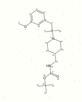 COc1cccc(CC(C)(C)N2CCC(CNC(=O)OC(C)(C)C)CC2)c1